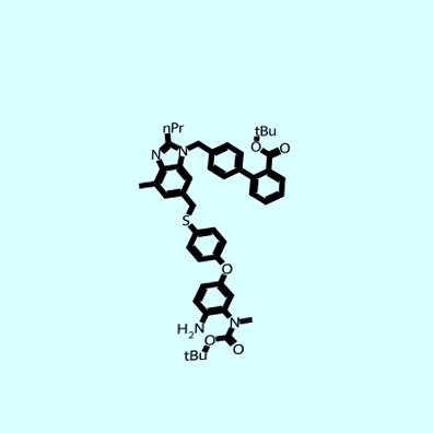 CCCc1nc2c(C)cc(CSc3ccc(Oc4ccc(N)c(N(C)C(=O)OC(C)(C)C)c4)cc3)cc2n1Cc1ccc(-c2ccccc2C(=O)OC(C)(C)C)cc1